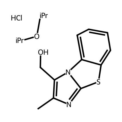 CC(C)OC(C)C.Cc1nc2sc3ccccc3n2c1CO.Cl